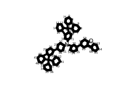 c1ccc(C2(c3ccccc3)c3ccccc3-c3cc(N(c4ccc(-c5ccc6c(c5)C(c5ccccc5)(c5ccccc5)c5ccccc5-6)cc4)c4cccc(-c5ccc6oc7ccccc7c6c5)c4)ccc32)cc1